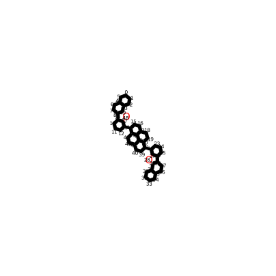 c1ccc2c(c1)ccc1c3cccc(-c4ccc5ccc6c(-c7cccc8c7oc7c9ccccc9ccc87)ccc7ccc4c5c76)c3oc21